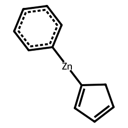 C1=CC[C]([Zn][c]2ccccc2)=C1